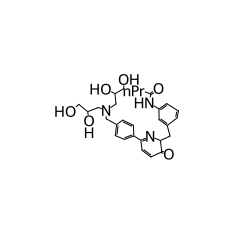 CCCC(=O)Nc1cccc(CC2N=C(c3ccc(CN(CC(O)CO)CC(O)CO)cc3)C=CC2=O)c1